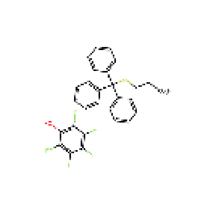 O=C(O)CCSC(c1ccccc1)(c1ccccc1)c1ccccc1.Oc1c(F)c(F)c(F)c(F)c1F